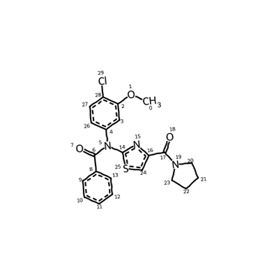 COc1cc(N(C(=O)c2ccccc2)c2nc(C(=O)N3CCCC3)cs2)ccc1Cl